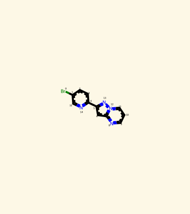 Brc1ccc(-c2cc3ncccn3n2)nc1